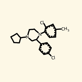 Cc1ccc(N2CCN(C3CCCC3)CC2c2ccc(Cl)cc2)c(Cl)c1